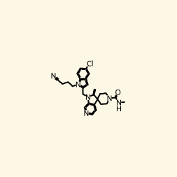 C=C1N(Cc2cc3cc(Cl)ccc3n2CCCC#N)c2cnccc2C12CCN(C(=O)NC)CC2